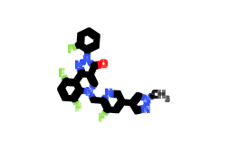 Cn1cc(-c2cnc(Cn3cc4c(=O)n(-c5ccccc5F)nc-4c4c(F)ccc(F)c43)c(F)c2)cn1